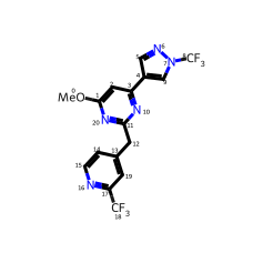 COc1cc(-c2cnn(C(F)(F)F)c2)nc(Cc2ccnc(C(F)(F)F)c2)n1